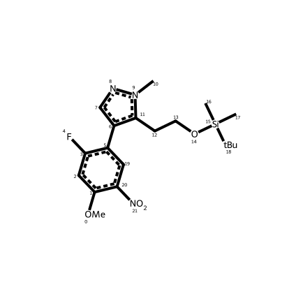 COc1cc(F)c(-c2cnn(C)c2CCO[Si](C)(C)C(C)(C)C)cc1[N+](=O)[O-]